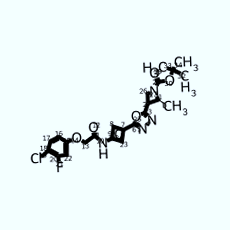 C[C@@H]1C(c2nnc(C34CC(NC(=O)COc5ccc(Cl)c(F)c5)(C3)C4)o2)CN1C(=O)OC(C)(C)C